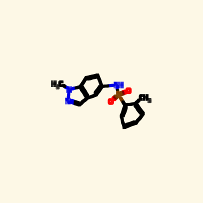 Cc1ccccc1S(=O)(=O)Nc1ccc2c(cnn2C)c1